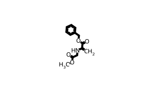 C=C(NCC(=O)OC)C(=O)OCc1ccccc1